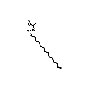 C=CCCCCCCCCCCCC[SiH](C)OC(C)OC